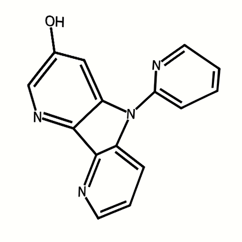 Oc1cnc2c3ncccc3n(-c3ccccn3)c2c1